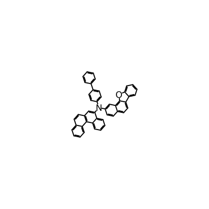 c1ccc(-c2ccc(N(c3ccc4ccc5c6ccccc6oc5c4c3)c3cc4ccc5ccccc5c4c4ccccc34)cc2)cc1